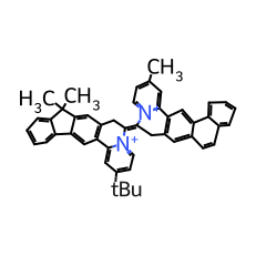 Cc1cc[n+]2c(c1)-c1cc3c(ccc4ccccc43)cc1C/C2=C1/Cc2cc3c(cc2-c2cc(C(C)(C)C)cc[n+]21)-c1ccccc1C3(C)C